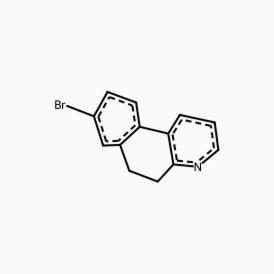 Brc1ccc2c(c1)CCc1ncccc1-2